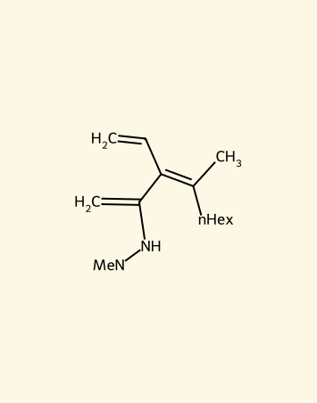 C=C/C(C(=C)NNC)=C(\C)CCCCCC